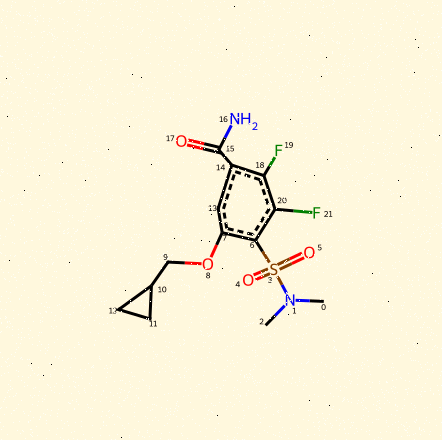 CN(C)S(=O)(=O)c1c(OCC2CC2)cc(C(N)=O)c(F)c1F